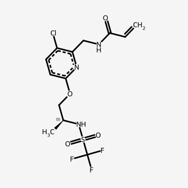 C=CC(=O)NCc1nc(OC[C@H](C)NS(=O)(=O)C(F)(F)F)ccc1Cl